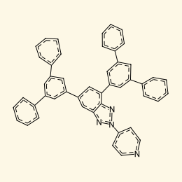 c1ccc(-c2cc(-c3ccccc3)cc(-c3cc(-c4cc(-c5ccccc5)cc(-c5ccccc5)c4)c4nn(-c5ccncc5)nc4c3)c2)cc1